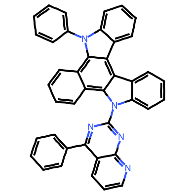 c1ccc(-c2nc(-n3c4ccccc4c4c5c6ccccc6n(-c6ccccc6)c5c5ccccc5c43)nc3ncccc23)cc1